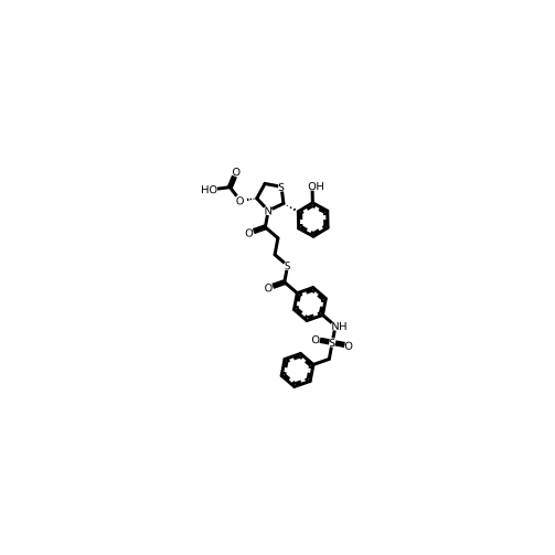 O=C(O)O[C@@H]1CS[C@H](c2ccccc2O)N1C(=O)CCSC(=O)c1ccc(NS(=O)(=O)Cc2ccccc2)cc1